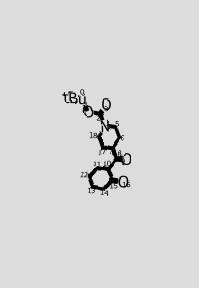 CC(C)(C)OC(=O)N1CCC(C(=O)C2CCCCC2=O)CC1